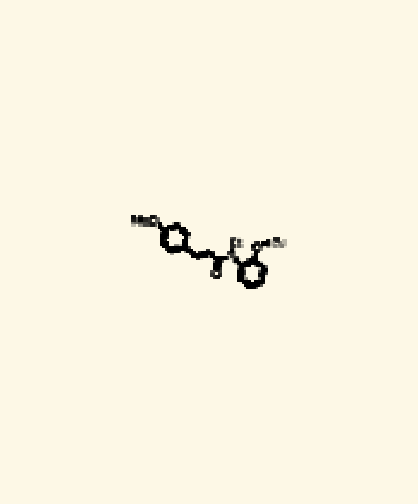 CCCCOc1ccccc1N(CC)C(=O)/C=C/c1ccc(OC)cc1